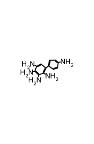 Nc1ccc(-c2cc(N)c(N)c(N)c2N)cc1